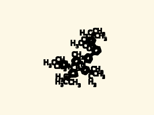 Cc1cc2c3c(c1)N(c1ccc(C(C)(C)C)cc1)c1cc(C(C)(C)C)ccc1B3c1ccc(C(C)(C)C)cc1N2c1ccc(-c2cccc3c2oc2c(C(C)(C)C)cc(C(C)(C)C)cc23)cc1